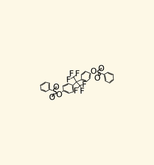 O=S(=O)(Oc1ccc(C(c2ccc(OS(=O)(=O)c3ccccc3)cc2)(C(F)(F)F)C(F)(F)F)cc1)c1ccccc1